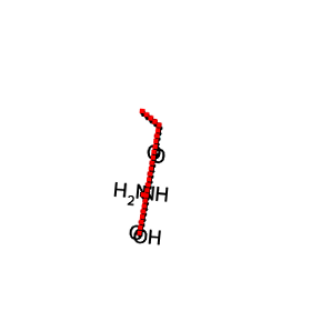 CCCCCCCC/C=C\CCCCCCCCOC(=O)CCCCCCCCCCCCCNC(CCCCCCCCCCCCCC(=O)O)C(C)N